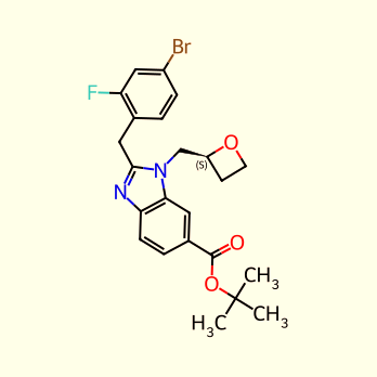 CC(C)(C)OC(=O)c1ccc2nc(Cc3ccc(Br)cc3F)n(C[C@@H]3CCO3)c2c1